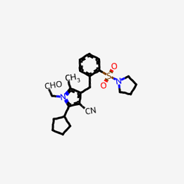 Cc1c(Cc2ccccc2S(=O)(=O)N2CCCC2)c(C#N)c(C2CCCC2)n1CC=O